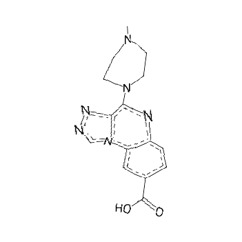 CN1CCN(c2nc3ccc(C(=O)O)cc3n3cnnc23)CC1